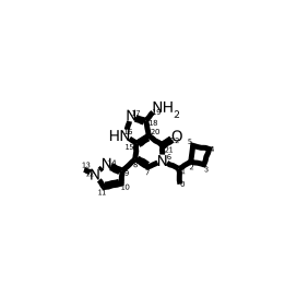 CC(C1CCC1)n1cc(-c2ccn(C)n2)c2[nH]nc(N)c2c1=O